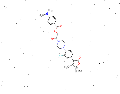 CC(=O)N[C@@H]1OC(=O)C(c2ccc(N3CCN(C(=O)COC(=O)c4ccc(N(C)C)cc4)CC3)c(F)c2)=C1C